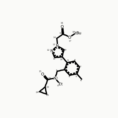 CCN(Cc1cc(C)ccc1-c1cnn(CC(=O)OC(C)(C)C)c1)C(=O)C1CC1